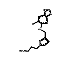 CCc1cc2[nH]cnc2nc1NCc1ccn(CCCOC)n1